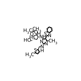 Cc1ccc(CNc2nc(C)c(-c3nc4ccccc4s3)c(N[C@@H]3C[C@H](CO)[C@H]4OC(C)(C)O[C@H]43)n2)s1